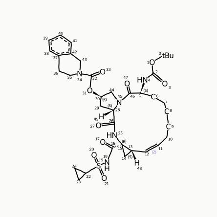 CC(C)(C)OC(=O)N[C@H]1CCCCC/C=C\[C@@H]2C[C@@]2(C(=O)NS(=O)(=O)C2CC2)NC(=O)[C@@H]2C[C@@H](OC(=O)N3CCc4ccccc4C3)CN2C1=O